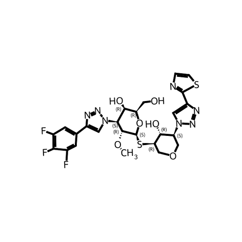 CO[C@@H]1[C@@H](n2cc(-c3cc(F)c(F)c(F)c3)nn2)[C@@H](O)[C@@H](CO)O[C@H]1S[C@@H]1COC[C@H](n2cc(-c3nccs3)nn2)[C@H]1O